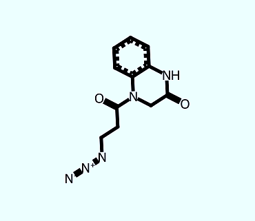 [N-]=[N+]=NCCC(=O)N1CC(=O)Nc2ccccc21